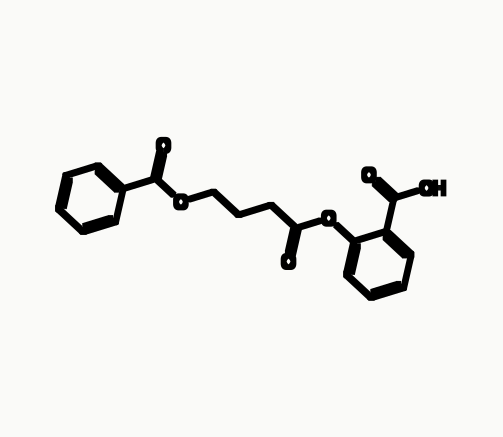 O=C(CCCOC(=O)c1ccccc1)Oc1ccccc1C(=O)O